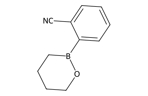 N#Cc1ccccc1B1CCCCO1